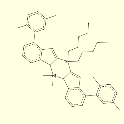 CCCCC[Si]1(CCCCC)C2=Cc3c(-c4cc(C)ccc4C)cccc3[CH]2[Hf]([CH3])([CH3])[CH]2C1=Cc1c(-c3cc(C)ccc3C)cccc12